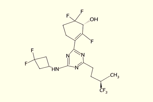 C[C@H](CCc1nc(NC2CC(F)(F)C2)nc(C2=C(F)[C@@H](O)C(F)(F)CC2)n1)C(F)(F)F